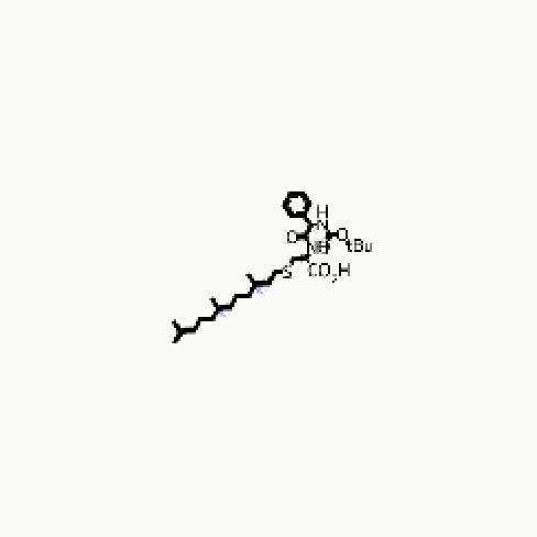 CC(C)=CCC/C(C)=C/CC/C(C)=C/CSC[C@H](NC(=O)[C@@H](NC(=O)OC(C)(C)C)c1ccccc1)C(=O)O